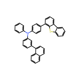 c1ccc(N(c2ccc(-c3cccc4c3sc3ccccc34)cc2)c2cccc(-c3cccc4ccccc34)c2)cc1